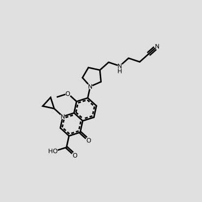 COc1c(N2CCC(CNCCC#N)C2)ccc2c(=O)c(C(=O)O)cn(C3CC3)c12